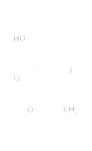 CC(=O)C(I)C(=O)CO